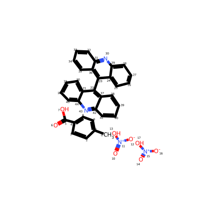 Cc1ccc(C(=O)O)cc1.O=[N+]([O-])O.O=[N+]([O-])O.c1ccc2c(-c3c4ccccc4nc4ccccc34)c3ccccc3nc2c1